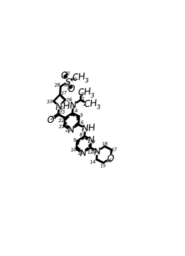 CC(C)Nc1cc(Nc2ccnc(N3CCOCC3)n2)ncc1C(=O)N1CC(CS(C)(=O)=O)C1